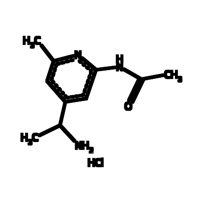 CC(=O)Nc1cc(C(C)N)cc(C)n1.Cl